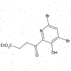 CCOC(=O)CCC(=O)c1nc(Br)cc(Br)c1O